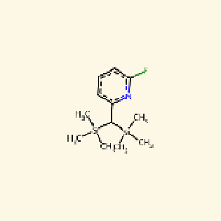 C[Si](C)(C)C(c1cccc(F)n1)[Si](C)(C)C